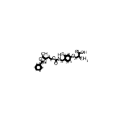 Cc1oc(-c2ccccc2)nc1CCOC(=O)NCc1ccc(OCC(C)C(=O)O)cc1F